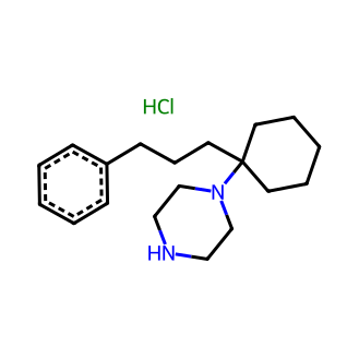 Cl.c1ccc(CCCC2(N3CCNCC3)CCCCC2)cc1